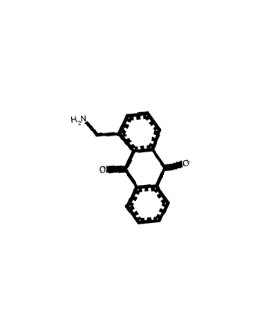 NCc1cccc2c1C(=O)c1ccccc1C2=O